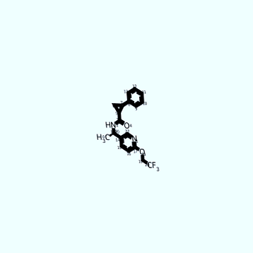 C[C@@H](NC(=O)C1CC1c1ccccc1)c1ccc(OCC(F)(F)F)nc1